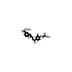 CCC(CCc1cc2cc(C(=O)OC)ccc2o1)c1ccc(OCC(=O)C(C)(C)C)c(C)c1